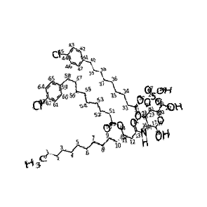 CCCCCCCCCCC[C@@H](CC(=O)N[C@H]1C(O)O[C@H](CO)[C@@H](OS(=O)(=O)O)[C@@H]1OC(=O)CCCCCCCCc1ccc(Cl)cc1)OC(=O)CCCCCCCCc1ccc(Cl)cc1